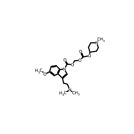 COc1ccc2c(c1)c(CCN(C)C)cn2C(=O)OCOC(=O)OC1CCN(C)CC1